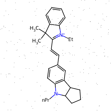 CCCN1c2ccc(/C=C/C3=[N+](CC)c4ccccc4C3(C)C)cc2C2CCCC21